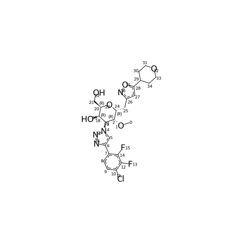 CO[C@@H]1[C@@H](n2cc(-c3ccc(Cl)c(F)c3F)nn2)[C@@H](O)[C@@H](CO)O[C@@H]1Cc1cc(C2CCOCC2)on1